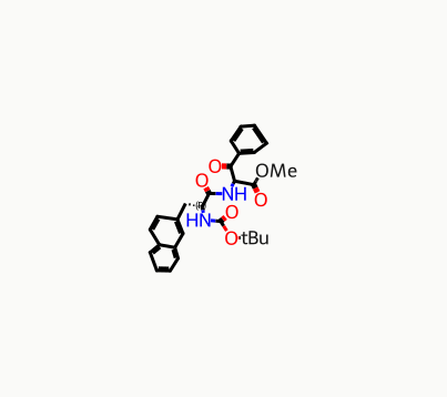 COC(=O)C(NC(=O)[C@@H](Cc1ccc2ccccc2c1)NC(=O)OC(C)(C)C)C(=O)c1ccccc1